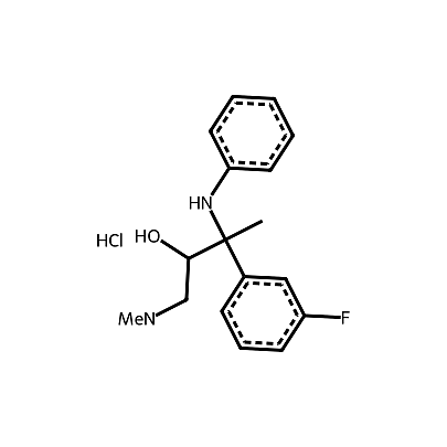 CNCC(O)C(C)(Nc1ccccc1)c1cccc(F)c1.Cl